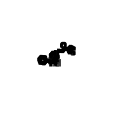 Cl.Cl.O=C(CCN1CCN(Cc2ccccc2)CC1)c1ccsc1